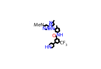 CNc1cc(-n2nc(C)cc2Nc2cc(NC(=O)c3cc(C4=CCNCC4)cc(C(F)(F)F)c3)ccc2C)ncn1